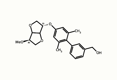 CO[C@@H]1COC2C1OC[C@@H]2Oc1cc(C)c(-c2cccc(CO)c2)c(C)c1